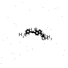 Cc1cccc(C#Cc2ccc3c(c2C)CCC3N2CC(C)(O)C2)c1